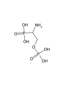 NC(COP(=O)(O)O)P(=O)(O)O